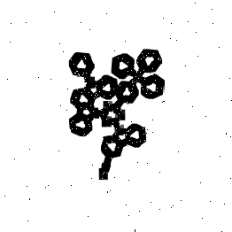 N#Cc1ccc2c(c1)c1ccccc1n2-c1nc(-c2ccc([Si](c3ccccc3)(c3ccccc3)c3ccccc3)cc2)nc(-n2c3ccccc3c3ccc4c(c5ccccc5n4-c4ccccc4)c32)n1